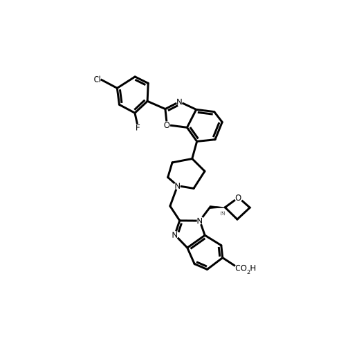 O=C(O)c1ccc2nc(CN3CCC(c4cccc5nc(-c6ccc(Cl)cc6F)oc45)CC3)n(C[C@@H]3CCO3)c2c1